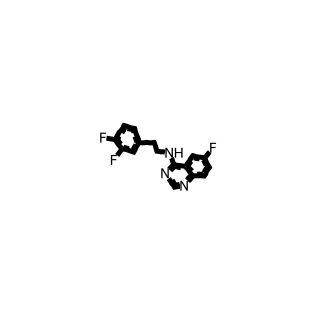 Fc1ccc2ncnc(NCCc3ccc(F)c(F)c3)c2c1